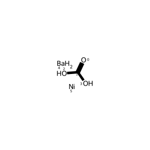 O=C(O)O.[BaH2].[Ni]